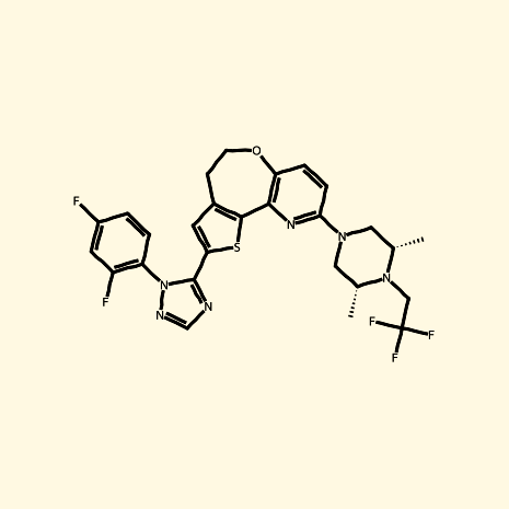 C[C@@H]1CN(c2ccc3c(n2)-c2sc(-c4ncnn4-c4ccc(F)cc4F)cc2CCO3)C[C@H](C)N1CC(F)(F)F